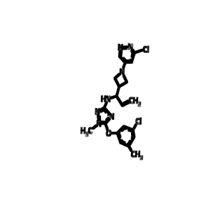 C=CC(Nc1nc(Oc2cc(C)cc(Cl)c2)n(C)n1)C1CN(c2cnnc(Cl)c2)C1